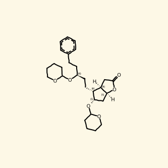 O=C1C[C@@H]2[C@@H](CC[C@H](CCc3ccccc3)OC3CCCCO3)[C@@H](OC3CCCCO3)C[C@@H]2O1